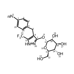 CCCc1ccc(Cc2c(O[C@H]3O[C@H](CO)[C@@H](O)[C@H](O)[C@H]3O)n[nH]c2C(F)(F)F)cc1